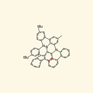 Cc1cc2c3c(c1)N(c1ccccc1-c1ccccc1)c1ccc4c(oc5ccccc54)c1B3N(c1ccc(C(C)(C)C)cc1)c1ccc(C(C)(C)C)cc1-2